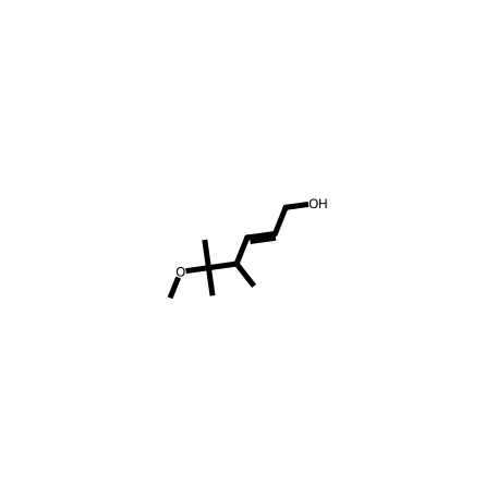 COC(C)(C)C(C)C=CCO